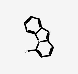 Brc1cccc2nc3ccccc3n12